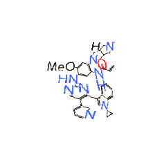 C=CC(=O)Nc1cc(Nc2ncc(-c3cccnc3)c(-c3cn(C4CC4)c4ccccc34)n2)c(OC)cc1N1CC2CN(C)C[C@@H]2C1